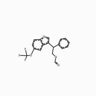 O=COCC(c1ccccc1)c1coc2ccc(OC(F)(F)F)cc12